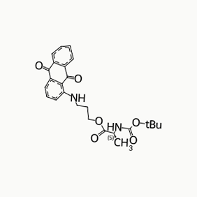 C[C@H](NC(=O)OC(C)(C)C)C(=O)OCCCNc1cccc2c1C(=O)c1ccccc1C2=O